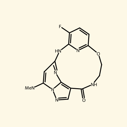 CNc1cc2nc3c(cnn13)C(=O)NCCOc1ccc(F)c(n1)N2